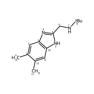 Cc1cc2nc(CNC(C)(C)C)[nH]c2cc1C